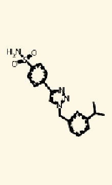 CC(C)c1cccc(Cn2cc(-c3ccc(S(N)(=O)=O)cc3)nn2)c1